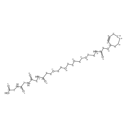 O=C(O)CNC(=O)CNC(=O)CNC(=O)CCOCCOCCOCCOCCNC(=O)COC1C#CCCCCC1